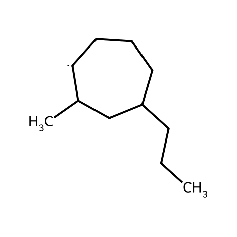 CCCC1CCC[CH]C(C)C1